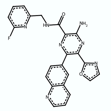 Nc1nc(-c2ncco2)c(-c2ccc3ncccc3c2)nc1C(=O)NCc1cccc(F)n1